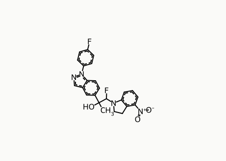 CC(O)(c1ccc2c(cnn2-c2ccc(F)cc2)c1)C(F)N1CCc2c1cccc2[N+](=O)[O-]